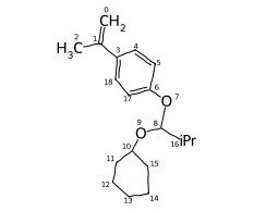 C=C(C)c1ccc(OC(OC2CCCCC2)C(C)C)cc1